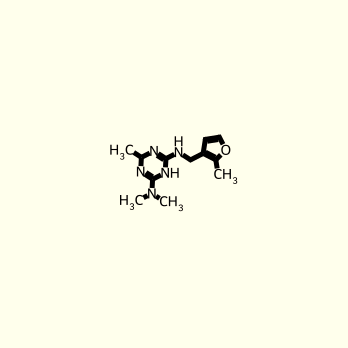 Cc1occc1CNC1=NC(C)N=C(N(C)C)N1